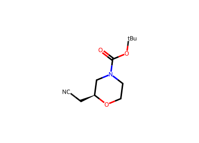 CC(C)(C)OC(=O)N1CCO[C@@H](CC#N)C1